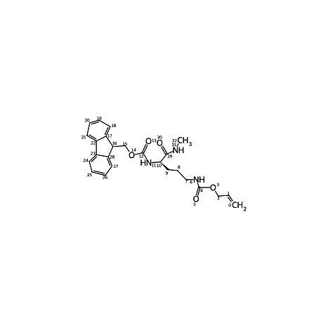 C=CCOC(=O)NCCC[C@@H](NC(=O)OCC1c2ccccc2-c2ccccc21)C(=O)NC